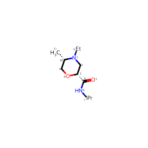 CCN1C[C@H](C(=O)NC(C)C)OC[C@@H]1C